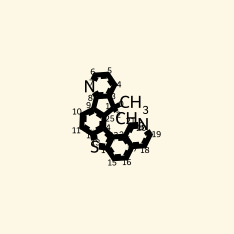 CC1(C)c2cccnc2-c2ccc3sc4ccc5ccncc5c4c3c21